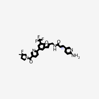 C[C@]1(F)CCN(C(=O)c2ccc(-c3cc(C(F)(F)F)c4oc(CNC(=O)/C=C/c5ccc(N)nc5)cc4c3)nc2)C1